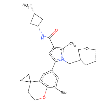 Cc1c(C(=O)N[C@H]2C[C@@H](C(=O)O)C2)cc(-c2cc(C(C)(C)C)c3c(c2)C2(CCO3)CC2)n1CC1CCCCC1